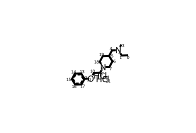 CCN(C)CC1CCN(CCOc2ccccc2)CC1.Cl.Cl